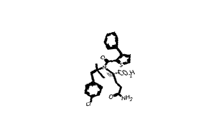 CC(C)(Cc1ccc(Cl)cc1)N(C(=O)c1sccc1-c1ccccc1)[C@@H](CCC(N)=O)C(=O)O